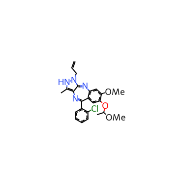 C=CCN1NC(C)=C2N=C(c3ccccc3Cl)c3cc(OC(C)OC)c(OC)cc3N=C21